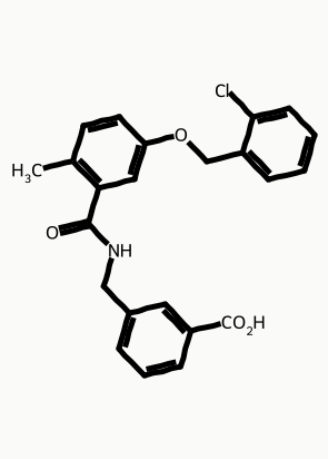 Cc1ccc(OCc2ccccc2Cl)cc1C(=O)NCc1cccc(C(=O)O)c1